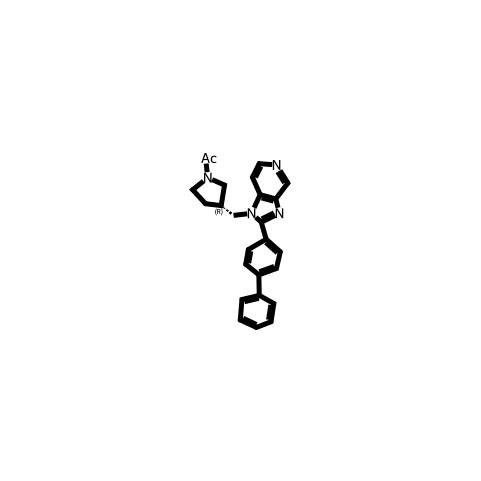 CC(=O)N1CC[C@@H](Cn2c(-c3ccc(-c4ccccc4)cc3)nc3cnccc32)C1